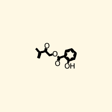 C=C(C)C(=O)COC(=O)c1ccccc1O